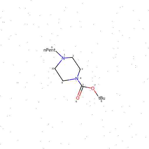 CCCCCN1CCN(C(=O)OC(C)(C)C)CC1